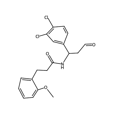 COc1ccccc1CCC(=O)NC(CC=O)c1ccc(Cl)c(Cl)c1